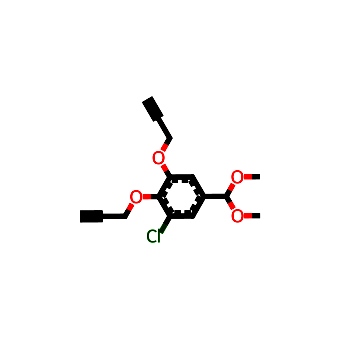 C#CCOc1cc(C(OC)OC)cc(Cl)c1OCC#C